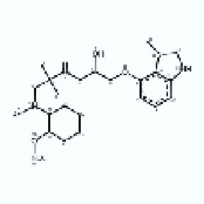 CC(=O)N(CC(C)(C)NCC(O)COc1cccc2c1N(C)CN2)C1CCCCC1O[N+](=O)[O-]